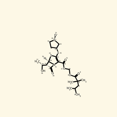 CC(C)CC(C)(C)C(=O)OCOC(=O)C1=C(S[C@H]2CC[S@@+]([O-])C2)S[C@@H]2[C@@H]([C@@H](C)O)C(=O)N12